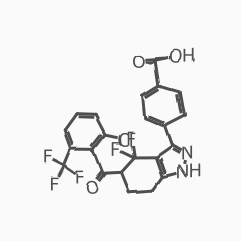 O=C(O)c1ccc(-c2n[nH]c3c2C(F)(F)C(C(=O)c2c(Cl)cccc2C(F)(F)F)CC3)cc1